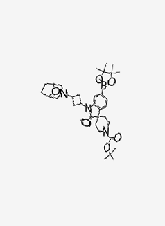 CC(C)(C)OC(=O)N1CCC2(CC1)C(=O)N(C1CC(N3CC4CCC(C3)O4)C1)c1cc(B3OC(C)(C)C(C)(C)O3)ccc12